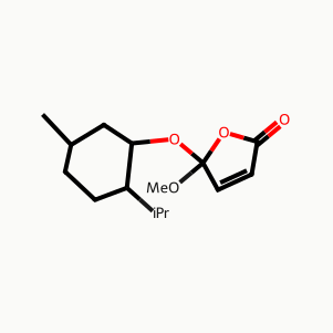 COC1(OC2CC(C)CCC2C(C)C)C=CC(=O)O1